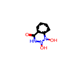 O=C1NN(O)N(O)c2ccccc21